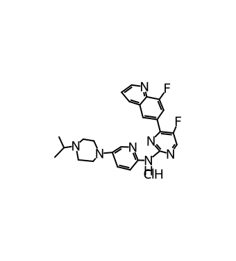 CC(C)N1CCN(c2ccc(Nc3ncc(F)c(-c4cc(F)c5ncccc5c4)n3)nc2)CC1.Cl